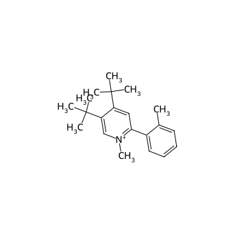 Cc1ccccc1-c1cc(C(C)(C)C)c(C(C)(C)C)c[n+]1C